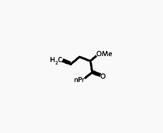 C=CCC(OC)C(=O)CCC